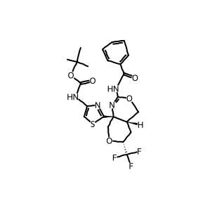 CC(C)(C)OC(=O)Nc1csc([C@]23CO[C@@H](C(F)(F)F)C[C@H]2COC(NC(=O)c2ccccc2)=N3)n1